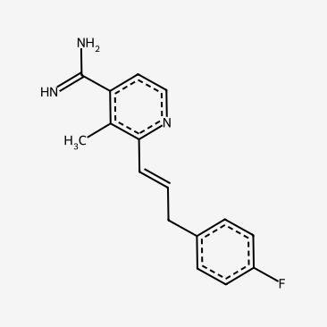 Cc1c(C(=N)N)ccnc1/C=C/Cc1ccc(F)cc1